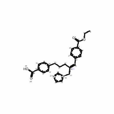 CCOC(=O)c1ccc(/C=C(\CCCc2ccc(C(=O)O)cc2)Cn2ccnc2)cc1